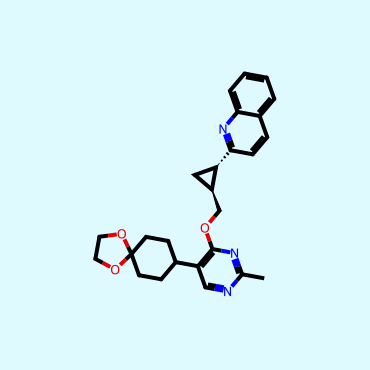 Cc1ncc(C2CCC3(CC2)OCCO3)c(OC[C@H]2C[C@@H]2c2ccc3ccccc3n2)n1